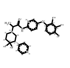 CC(C(=O)Nc1ccc(Oc2ccc(F)c(F)c2F)cn1)N1CCC(F)(F)[C@@H](c2ccncc2)C1